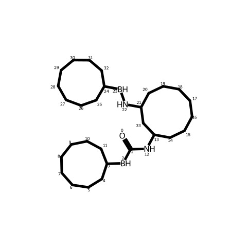 O=C(BC1CCCCCCCC1)NC1CCCCCCCC(NBC2CCCCCCCC2)C1